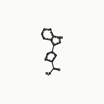 NC(=O)c1cc(-c2c[nH]c3ncccc23)cs1